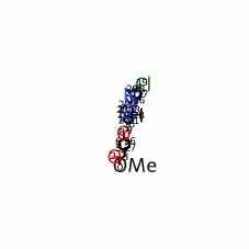 COC(=O)Cc1ccc(OC[C@H]2C[C@H]3CN(c4ccc(Cl)cn4)CCN3C2)cc1